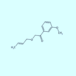 CC=CCOCC(=O)c1cccc(OC)c1